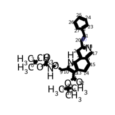 CC(C)(C)OC(=O)NOCc1[nH]c2c(ccc3cnc(/C=C/c4ccccc4)cc32)c1C(=O)OC(C)(C)C